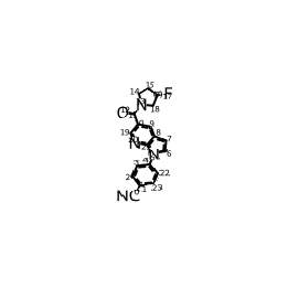 N#Cc1ccc(-n2ccc3cc(C(=O)N4CC[C@H](F)C4)cnc32)cc1